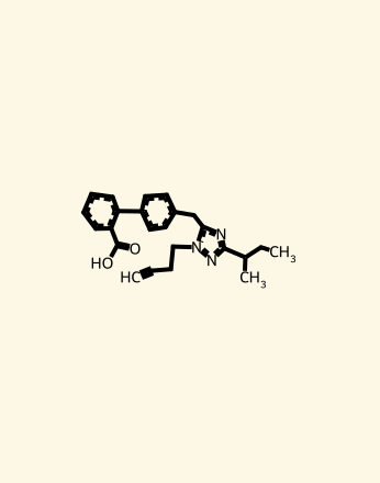 C#CCCn1nc(C(C)CC)nc1Cc1ccc(-c2ccccc2C(=O)O)cc1